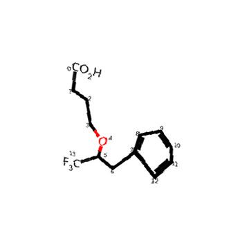 O=C(O)CCCOC(Cc1ccccc1)C(F)(F)F